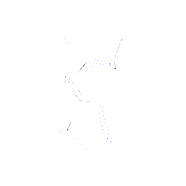 CN=C(C)N=C1C=CN=C1